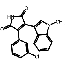 Cn1cc(C2=C(c3cccc(Cl)c3)C(=O)NC2=O)c2ccccc21